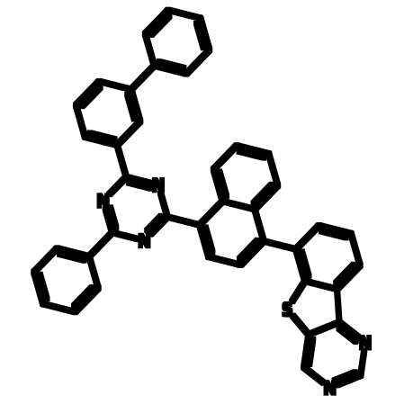 c1ccc(-c2cccc(-c3nc(-c4ccccc4)nc(-c4ccc(-c5cccc6c5sc5cncnc56)c5ccccc45)n3)c2)cc1